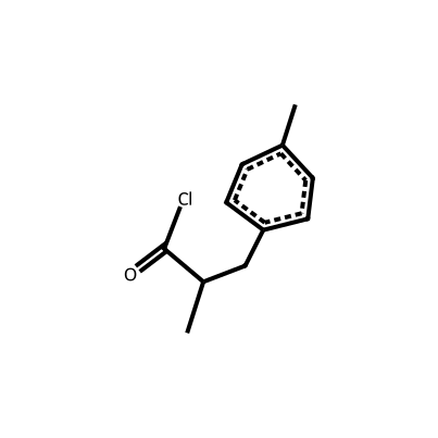 Cc1ccc(CC(C)C(=O)Cl)cc1